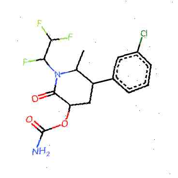 CC1C(c2cccc(Cl)c2)CC(OC(N)=O)C(=O)N1C(F)C(F)F